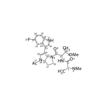 CNC(C)C(=O)NC(C(=O)N1CCC2C1C(c1c[nH]c3ccc(F)cc13)=CN2C(C)=O)C(C)OC